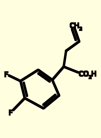 C=CCC(C(=O)O)c1ccc(F)c(F)c1